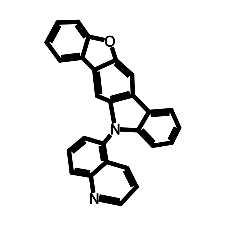 c1cc(-n2c3ccccc3c3cc4oc5ccccc5c4cc32)c2cccnc2c1